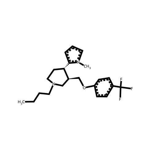 CCCCN1CC[C@H](c2cccn2C)[C@@H](COc2ccc(C(F)(F)F)cc2)C1